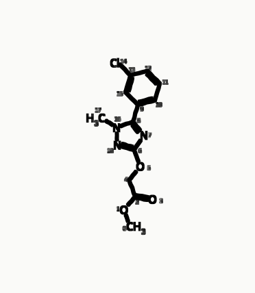 COC(=O)COc1nc(-c2cccc(Cl)c2)n(C)n1